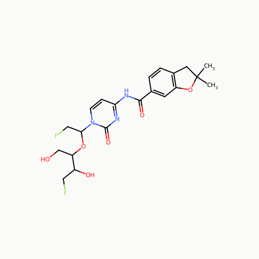 CC1(C)Cc2ccc(C(=O)Nc3ccn(C(CF)OC(CO)C(O)CF)c(=O)n3)cc2O1